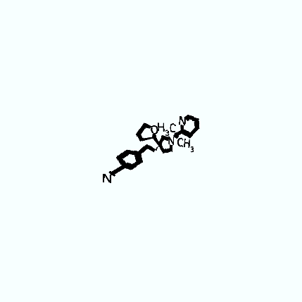 CC(C)(c1ccccn1)N1CC[C@@](CCc2ccc(C#N)cc2)([C@H]2CCCO2)C1